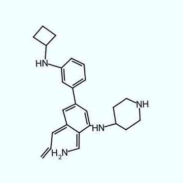 C=C/C=c1/cc(-c2cccc(NC3CCC3)c2)cc(NC2CCNCC2)/c1=C/N